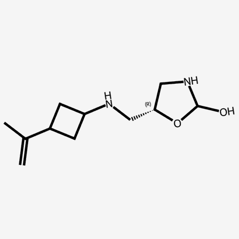 C=C(C)C1CC(NC[C@@H]2CNC(O)O2)C1